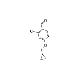 O=Cc1ccc(OCC2CC2)cc1Cl